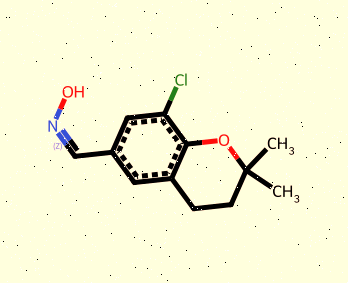 CC1(C)CCc2cc(/C=N\O)cc(Cl)c2O1